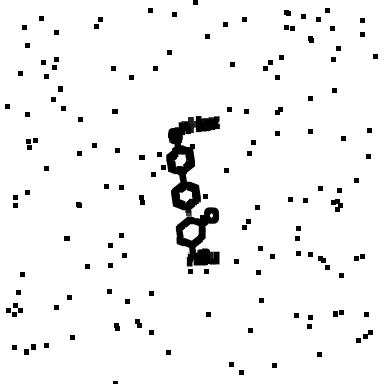 CCCCCCOc1ccc(-c2ccc([C@H]3CC[C@H](CCCC)CC3=O)cc2)cc1